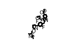 COC(=O)c1ccc2nc(Cc3cc(F)c(-c4cccc(OCc5sc(C)nc5C)n4)cc3F)n(C[C@@H]3CCO3)c2c1